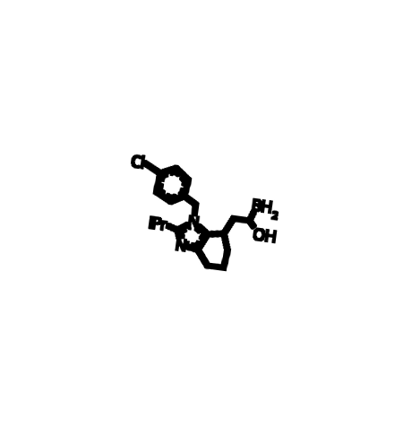 BC(O)CC1CCCc2nc(C(C)C)n(Cc3ccc(Cl)cc3)c21